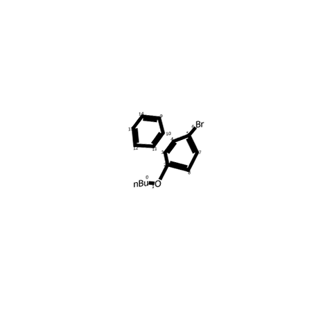 CCCCOc1ccc(Br)cc1.c1ccccc1